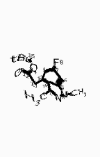 Cc1nn(C)c2cc(F)cc(CC(=O)OC(C)(C)C)c12